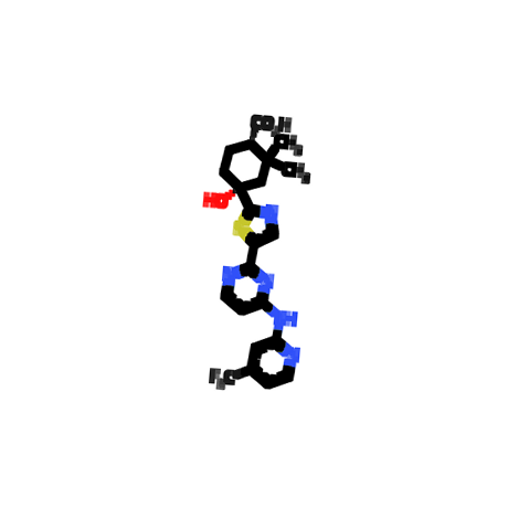 CC1(C)C[C@@](O)(c2ncc(-c3nccc(Nc4cc(C(F)(F)F)ccn4)n3)s2)CC[C@@H]1C(=O)O